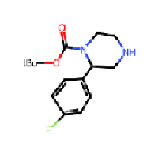 CC(C)(C)OC(=O)N1CCNCC1c1ccc(F)cc1